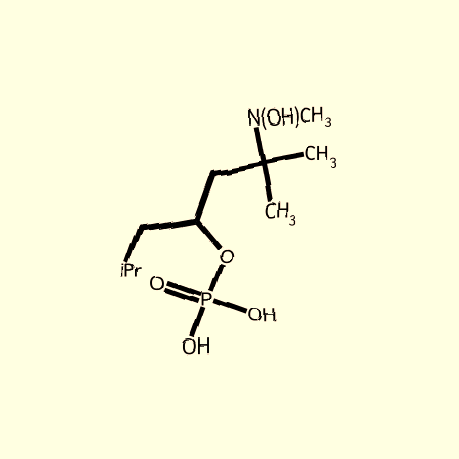 CC(C)CC(CC(C)(C)N(C)O)OP(=O)(O)O